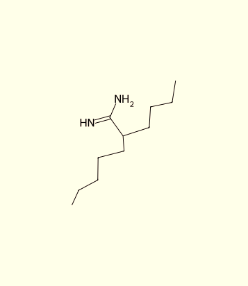 CCCCCC(CCCC)C(=N)N